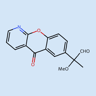 COC(C)(C=O)c1ccc2oc3ncccc3c(=O)c2c1